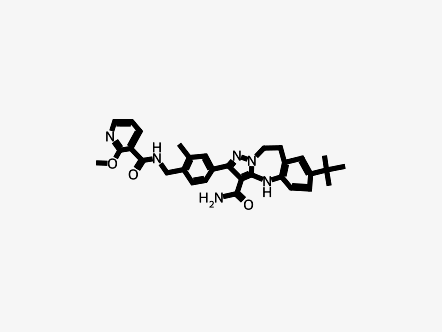 COc1ncccc1C(=O)NCc1ccc(-c2nn3c(c2C(N)=O)Nc2ccc(C(C)(C)C)cc2CC3)cc1C